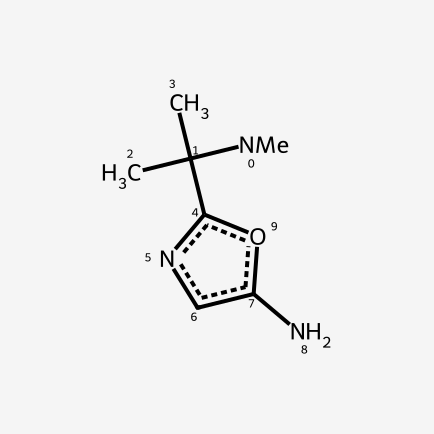 CNC(C)(C)c1ncc(N)o1